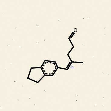 C/C(=C/c1ccc2c(c1)CCC2)CCC=O